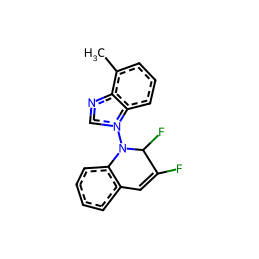 Cc1cccc2c1ncn2N1c2ccccc2C=C(F)C1F